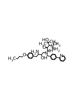 CCCCOc1ccc(CC(N)C(O)CN(Cc2ccc(-c3ccccn3)cc2)NC(=O)C(N(C)N)C(C)(C)O)cc1